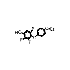 CCOc1ccc(Oc2c(F)cc(O)c(F)c2F)cc1